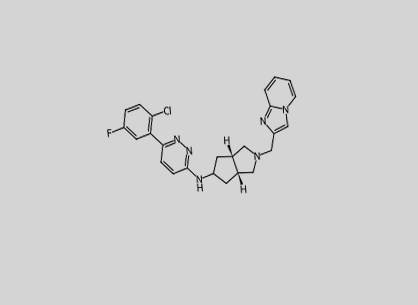 Fc1ccc(Cl)c(-c2ccc(NC3C[C@@H]4CN(Cc5cn6ccccc6n5)C[C@@H]4C3)nn2)c1